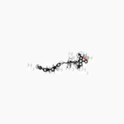 CN1CCN(c2ccc3[nH]c(-c4ccc5[nH]c(-c6ccc(OCCCCNC(=O)CC[S+]([O-])CC[Si]7(C)C8=CC(=[N+](C)C)C=CC8=C(c8ccccc8C(=O)O)c8ccc(N(C)C)cc87)cc6)nc5c4)nc3c2)CC1